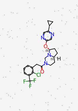 O=C(Cc1cccc(C(F)(F)F)c1Cl)N1CC[C@@H]2CC[C@H](Oc3cnc(C4CC4)cn3)N2C1